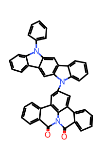 O=c1c2ccccc2c2cc(-n3c4ccccc4c4cc5c(cc43)c3ccccc3n5-c3ccccc3)cc3c4ccccc4c(=O)n1c23